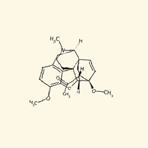 COc1ccc2c3c1O[C@H]1[C@@]4(OC)C=C[C@@]5(C[C@H]4C(C)=O)[C@@H](C2)N(C)CC[C@]315